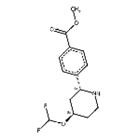 COC(=O)c1ccc([C@H]2C[C@H](OC(F)F)CCN2)cc1